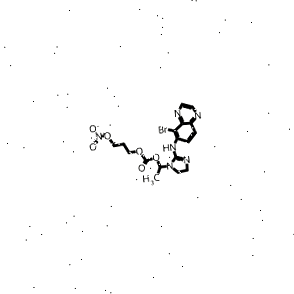 CC(OC(=O)OCCCO[N+](=O)[O-])N1CCN=C1Nc1ccc2nccnc2c1Br